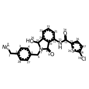 N#CCc1ccc(CN2C(=O)c3c(NC(=O)c4ccc(Cl)s4)cccc3C2O)cc1